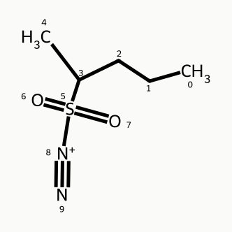 CCCC(C)S(=O)(=O)[N+]#N